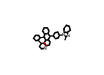 Cc1nc2ccccc2n1-c1ccc(-c2c3ccccc3c(-c3ccccc3-c3ccncc3)c3ccccc23)cc1